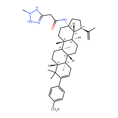 C=C(C)[C@@H]1CC[C@]2(NC(=O)CC3=NNN(C)N3)CC[C@]3(C)[C@H](CC[C@@H]4[C@@]5(C)CC=C(c6ccc(C(=O)O)cc6)C(C)(C)[C@@H]5CC[C@]43C)[C@@H]12